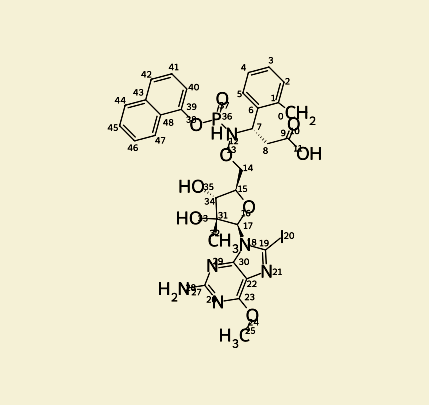 [CH2]c1ccccc1[C@H](CC(=O)O)N(OC[C@H]1O[C@@H](n2c(I)nc3c(OC)nc(N)nc32)[C@](C)(O)[C@@H]1O)[PH](=O)Oc1cccc2ccccc12